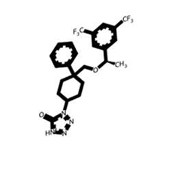 C[C@@H](OCC1(c2ccccc2)CCC(n2nn[nH]c2=O)CC1)c1cc(C(F)(F)F)cc(C(F)(F)F)c1